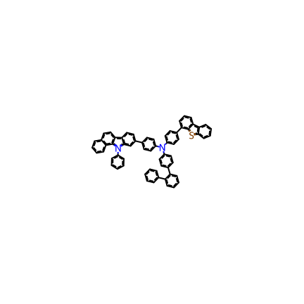 c1ccc(-c2ccccc2-c2ccc(N(c3ccc(-c4ccc5c6ccc7ccccc7c6n(-c6ccccc6)c5c4)cc3)c3ccc(-c4cccc5c4sc4ccccc45)cc3)cc2)cc1